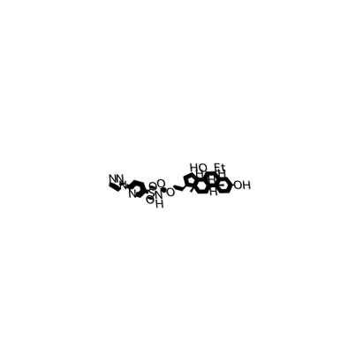 CC[C@H]1[C@@H](O)[C@@H]2[C@H](CC[C@]3(C)[C@@H](CCOC(=O)NS(=O)(=O)c4ccc(-n5ccnn5)nc4)CC[C@@H]23)[C@@]2(C)CC[C@@H](O)C[C@@H]12